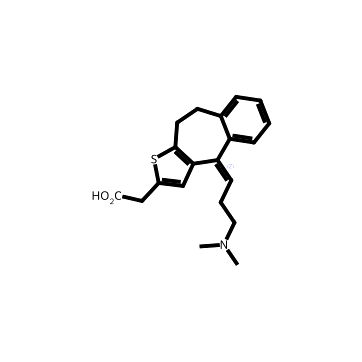 CN(C)CC/C=C1/c2ccccc2CCc2sc(CC(=O)O)cc21